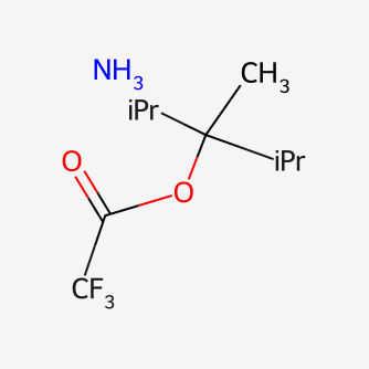 CC(C)C(C)(OC(=O)C(F)(F)F)C(C)C.N